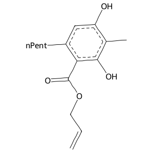 C=CCOC(=O)c1c(CCCCC)cc(O)c(C)c1O